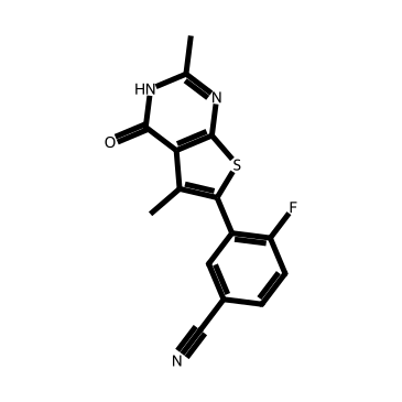 Cc1nc2sc(-c3cc(C#N)ccc3F)c(C)c2c(=O)[nH]1